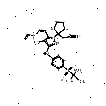 Cc1c(Nc2ccc(S(=O)(=O)C(C)(C)C)cc2)nn(C2(CC#N)CCCC2)c1/C=C\NC=O